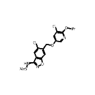 CSNc1noc2cc(COc3cnc(OC(C)C)c(Cl)c3)c(Cl)cc12